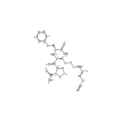 CC(=NSC#N)NCCCC[C@H](N[C@@H](CCc1ccccc1)C(=O)O)C(=O)N1CCC[C@H]1C(=O)O